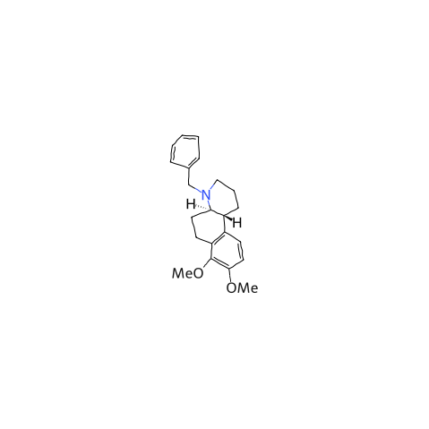 COc1ccc2c(c1OC)CC[C@@H]1[C@@H]2CCCN1Cc1ccccc1